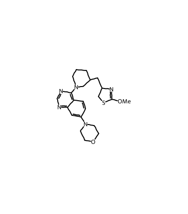 COC1=NC(CC2CCCN(c3ncnc4cc(N5CCOCC5)ccc34)C2)CS1